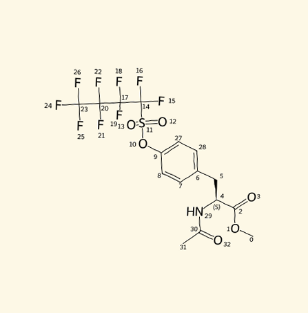 COC(=O)[C@H](Cc1ccc(OS(=O)(=O)C(F)(F)C(F)(F)C(F)(F)C(F)(F)F)cc1)NC(C)=O